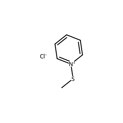 CS[n+]1ccccc1.[Cl-]